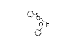 FCC(COSc1ccccc1)OCc1ccccc1